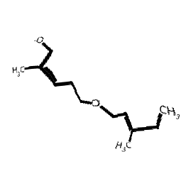 CCC(C)=CCOCCC=C(C)C[O]